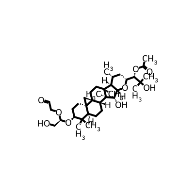 CC(=O)O[C@@H]([C@H]1C[C@@H](C)[C@H]2[C@H](O1)[C@H](O)[C@@]1(C)[C@@H]3CC[C@H]4C(C)(C)[C@@H](O[C@@H](CO)OCC=O)CC[C@@]45C[C@@]35CC[C@]21C)C(C)(C)O